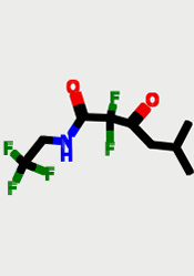 CC(C)CC(=O)C(F)(F)C(=O)NCC(F)(F)F